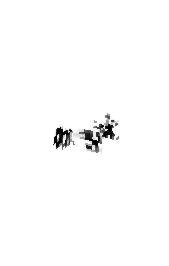 CCc1cn([C@@H]2CC(O)[C@H](CNC(=O)Cc3ccccc3[N+](=O)[O-])O2)c(=O)[nH]c1=O